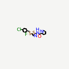 O=C(Nc1ncc(SCc2ccc(Cl)cc2F)s1)c1ccccn1